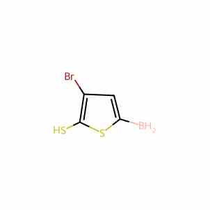 Bc1cc(Br)c(S)s1